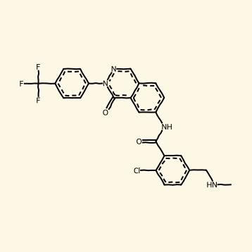 CNCc1ccc(Cl)c(C(=O)Nc2ccc3cnn(-c4ccc(C(F)(F)F)cc4)c(=O)c3c2)c1